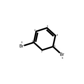 BrC1=CC=CC(Br)C1